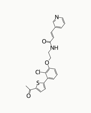 CC(=O)c1ccc(-c2cccc(OCCNC(=O)C=Cc3cccnc3)c2Cl)s1